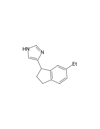 CCc1ccc2c(c1)C(c1c[nH]cn1)CC2